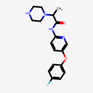 CC(C(=O)Nc1ccc(Oc2ccc(F)cc2)cn1)N1CCNCC1